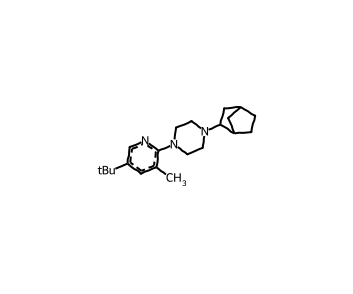 Cc1cc(C(C)(C)C)cnc1N1CCN(C2CC3CCC2C3)CC1